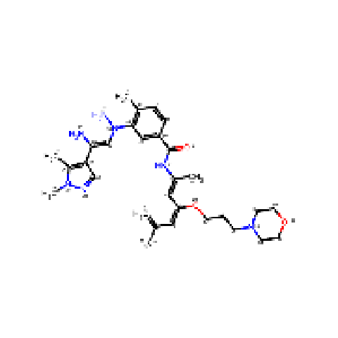 C=C(/C=C(\C=C(/C)NC(=O)c1ccc(C)c(N(N)/C=C(\N)c2cnn(C)c2C)c1)OCCCN1CCOCC1)C(F)(F)F